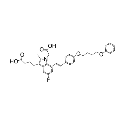 Cc1c(CCCC(=O)O)c2cc(F)cc(C=Cc3ccc(OCCCCOc4ccccc4)cc3)c2n1CC(=O)O